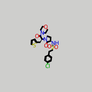 O=C([C@H](Cc1cccs1)N1CC[C@H](NS(=O)(=O)CCc2ccc(Cl)cc2)C1=O)N1CCOCC1